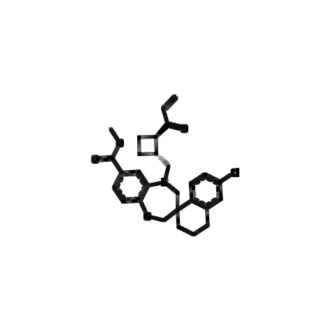 C=CC(=O)[C@@H]1CC[C@H]1CN1CC2(CCCc3cc(Cl)ccc32)COc2ccc(C(=O)OC)cc21